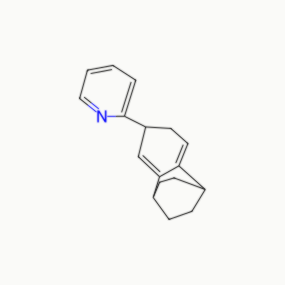 C1=C2C(=CC(c3ccccn3)C1)C1CCC2CC1